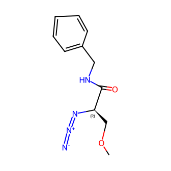 COC[C@@H](N=[N+]=[N-])C(=O)NCc1ccccc1